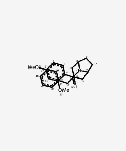 COc1ccc(C(=O)N2C3CCC2CC(Cc2ccccc2)C3)c(OC)c1